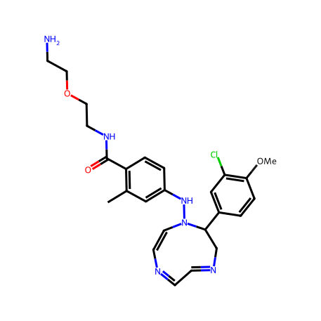 COc1ccc(C2C/N=C/C=N\C=C/N2Nc2ccc(C(=O)NCCOCCN)c(C)c2)cc1Cl